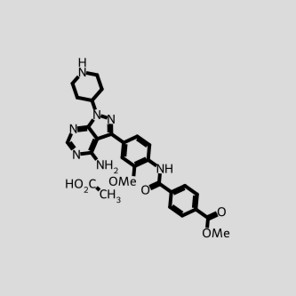 CC(=O)O.COC(=O)c1ccc(C(=O)Nc2ccc(-c3nn(C4CCNCC4)c4ncnc(N)c34)cc2OC)cc1